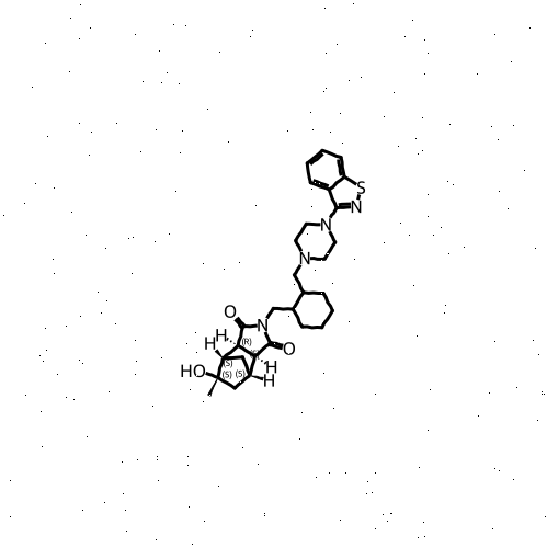 C[C@]1(O)C[C@@H]2C[C@H]1[C@H]1C(=O)N(CC3CCCCC3CN3CCN(c4nsc5ccccc45)CC3)C(=O)[C@@H]21